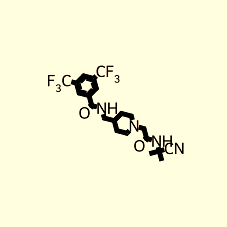 CC(C)(C#N)NC(=O)CN1CCC(CNC(=O)c2cc(C(F)(F)F)cc(C(F)(F)F)c2)CC1